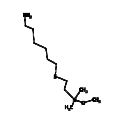 CO[Si](C)(C)CCSCCCCCCN